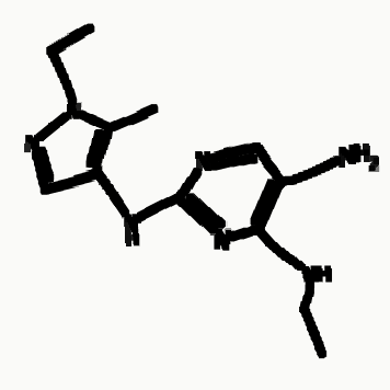 CCNc1nc(Nc2cnn(CC)c2C)ncc1N